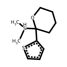 C[SiH](C)C1(c2cccs2)CCCCO1